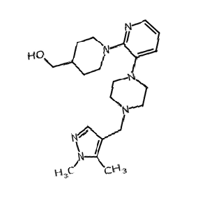 Cc1c(CN2CCN(c3cccnc3N3CCC(CO)CC3)CC2)cnn1C